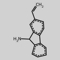 C=Cc1ccc2c(c1)C(N)c1ccccc1-2